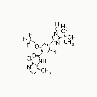 Cc1ccnc(Cl)c1NC(=O)c1cc(F)c(-c2cn(C)c(C(C)(C)O)n2)cc1OCC(F)(F)F